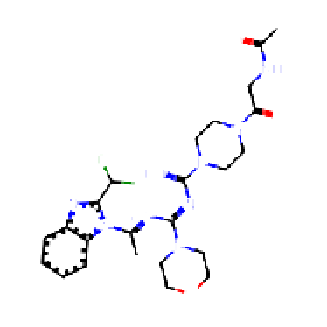 CC(=O)NCC(=O)N1CCN(C(=N)/N=C(\N=C(/C)n2c(C(F)F)nc3ccccc32)N2CCOCC2)CC1